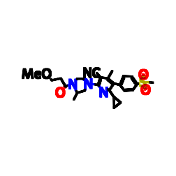 COCCC(=O)N1CCN(c2nc(C3CC3)c(-c3ccc(S(C)(=O)=O)cc3)c(C)c2C#N)CC1C